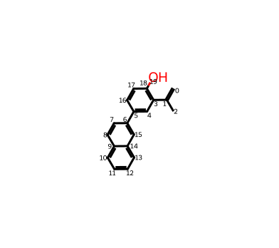 C=C(C)c1cc(-c2ccc3ccccc3c2)ccc1O